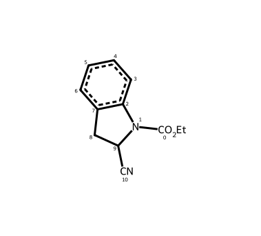 CCOC(=O)N1c2ccccc2CC1C#N